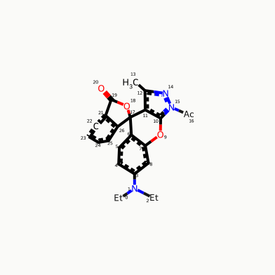 CCN(CC)c1ccc2c(c1)Oc1c(c(C)nn1C(C)=O)C21OC(=O)c2ccccc21